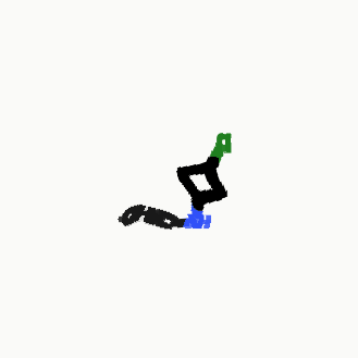 O=[C]NC1CC(Cl)C1